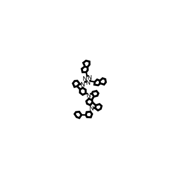 c1ccc(-c2cccc(-n3c4ccccc4c4c5c6ccccc6n(-c6ccc7c8ccccc8n(-c8nc(-c9ccc%10ccccc%10c9)nc(-c9ccc%10ccccc%10c9)n8)c7c6)c5ccc43)c2)cc1